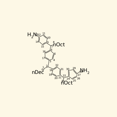 CCCCCCCCCCCC(c1ccc(C(CCCCCCCC)c2ccc(N)cc2)cc1)c1ccc(C(CCCCCCCC)c2ccc(N)cc2)cc1